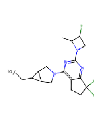 CC1C(F)CN1c1nc(N2CC3C(CC(=O)O)C3C2)c2c(n1)C(F)(F)CC2